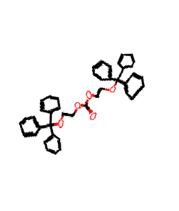 O=C(OCCOC(c1ccccc1)(c1ccccc1)c1ccccc1)OCCOC(c1ccccc1)(c1ccccc1)c1ccccc1